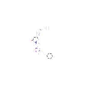 Cc1c(N2CC[C@@H](O)C2)cnn(Cc2nc(CCc3ccc(Cl)cc3)no2)c1=O